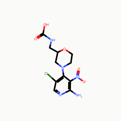 Nc1ncc(Cl)c(N2CCOC(CNC(=O)O)C2)c1[N+](=O)[O-]